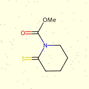 COC(=O)N1CCCCC1=S